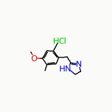 COc1cc(C)c(CC2=NCCN2)cc1C.Cl